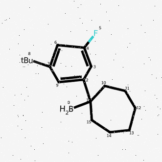 BC1(c2cc(F)cc(C(C)(C)C)c2)CCCCCC1